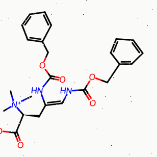 C[N+](C)(C)[C@@H](C/C(=C/NC(=O)OCc1ccccc1)NC(=O)OCc1ccccc1)C(=O)O